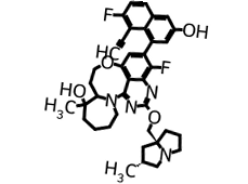 C#Cc1c(F)ccc2cc(O)cc(-c3cc4c5c(nc(OC[C@@]67CCCN6C[C@H](C)C7)nc5c3F)N3CCCCC(C)(O)C3CCO4)c12